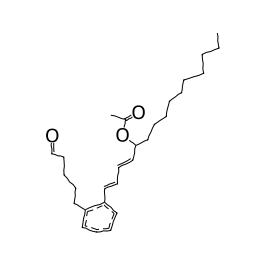 CCCCCCCCCCC(C=CC=Cc1ccccc1CCCCC=O)OC(C)=O